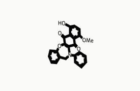 COc1ccc(O)c2c1C(=O)C1=C(Oc3ccccc3CN1c1ccccc1)C2=O